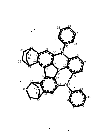 c1ccc(N2c3cccc4c3B3c5c2cc2c(c5-c5c3c(cc3c5C5CCC3CC5)N4c3ccccc3)C3CCC2CC3)cc1